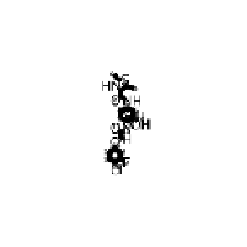 CC1NC(C(=O)NC23CCC(NC(=O)COc4ccc(Cl)c(F)c4)(CC2)[C@H](O)C3)C(C)S1